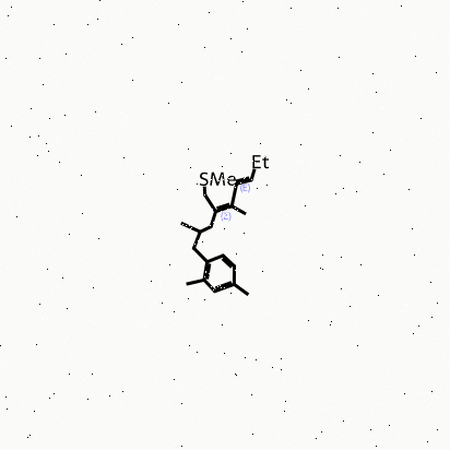 CC/C=C/C(C)=C(\CSC)CC(C)Cc1ccc(C)cc1C